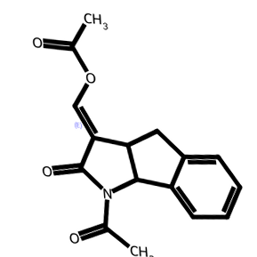 CC(=O)O/C=C1/C(=O)N(C(C)=O)C2c3ccccc3CC12